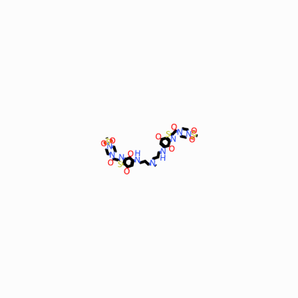 CN(CCCNC1=CC(=O)c2sc(C(=O)N3CCN(S(C)(=O)=O)CC3)nc2C1=O)CCCNC1=CC(=O)c2sc(C(=O)N3CCN(S(C)(=O)=O)CC3)nc2C1=O